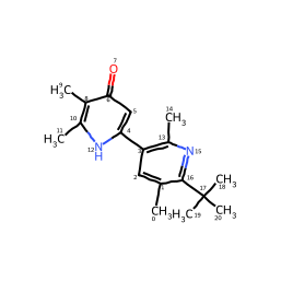 Cc1cc(-c2cc(=O)c(C)c(C)[nH]2)c(C)nc1C(C)(C)C